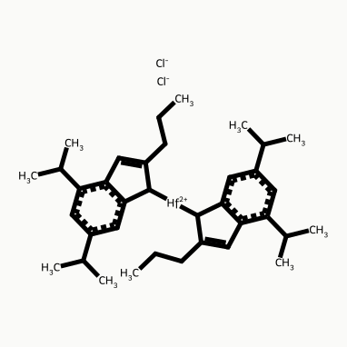 CCCC1=Cc2c(C(C)C)cc(C(C)C)cc2[CH]1[Hf+2][CH]1C(CCC)=Cc2c(C(C)C)cc(C(C)C)cc21.[Cl-].[Cl-]